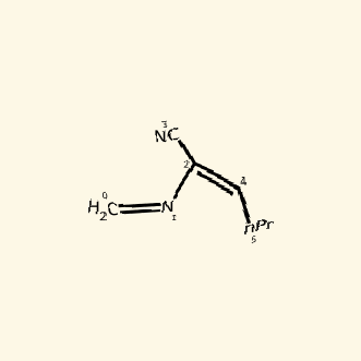 C=N/C(C#N)=C\CCC